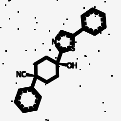 N#C[C@]1(c2ccccc2)CC[C@@](O)(c2ncc(-c3ccccc3)s2)CC1